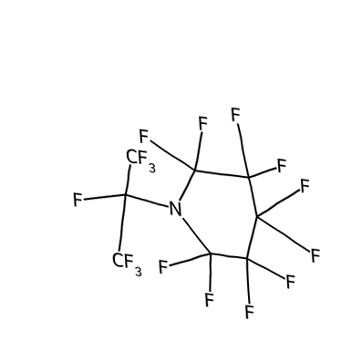 FC(F)(F)C(F)(N1C(F)(F)C(F)(F)C(F)(F)C(F)(F)C1(F)F)C(F)(F)F